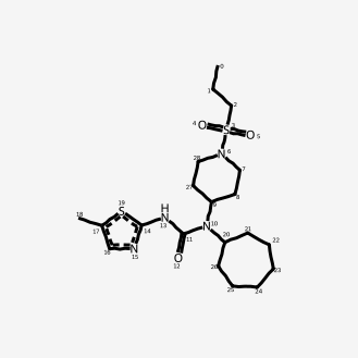 CCCS(=O)(=O)N1CCC(N(C(=O)Nc2ncc(C)s2)C2CCCCCC2)CC1